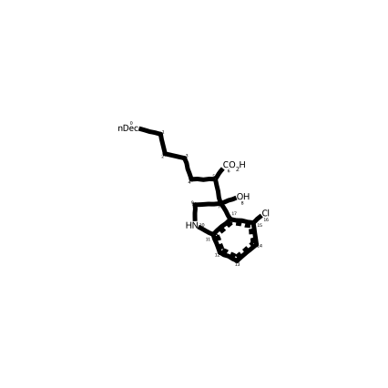 CCCCCCCCCCCCCCC(C(=O)O)C1(O)CNc2cccc(Cl)c21